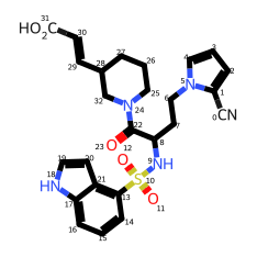 N#Cc1cccn1CCC(NS(=O)(=O)c1cccc2[nH]ccc12)C(=O)N1CCCC(C=CC(=O)O)C1